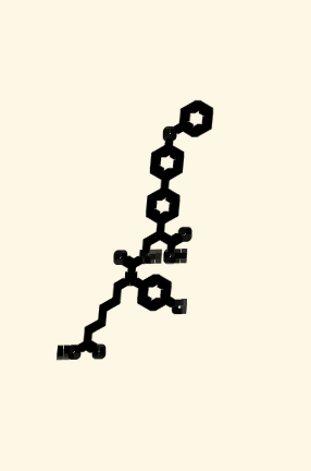 O=C(O)CCCCCN(C(=O)NCC(C(=O)O)c1ccc(-c2ccc(Oc3ccccc3)cc2)cc1)c1ccc(Cl)cc1